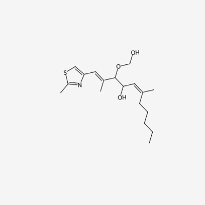 CCCCC/C(C)=C\C(O)C(OCO)/C(C)=C/c1csc(C)n1